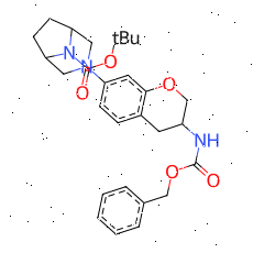 CC(C)(C)OC(=O)N1C2CCC1CN(c1ccc3c(c1)OCC(NC(=O)OCc1ccccc1)C3)C2